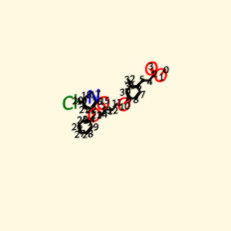 COC(=O)CCc1ccc(OCCC(C)Oc2ncc(Cl)cc2Oc2ccccc2)cc1C